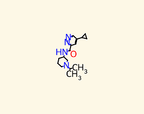 CC(C)N1CCCC(NC(=O)c2cc(C3CC3)cnn2)C1